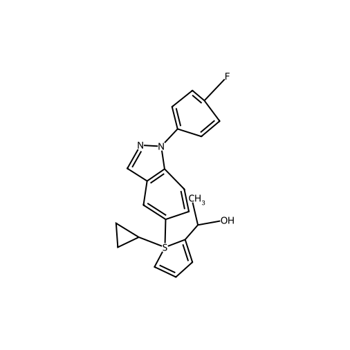 CC(O)C1=CC=CS1(c1ccc2c(cnn2-c2ccc(F)cc2)c1)C1CC1